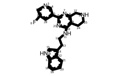 Fc1cncc(-c2nc3c(c(NCCc4c[nH]c5ccccc45)n2)CCNC3)c1